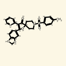 Cc1ccc(S(=O)(=O)N2CCC3(CC2)OC(c2ccc4c(c2)OCO4)=C(c2ccccn2)C3=O)cc1